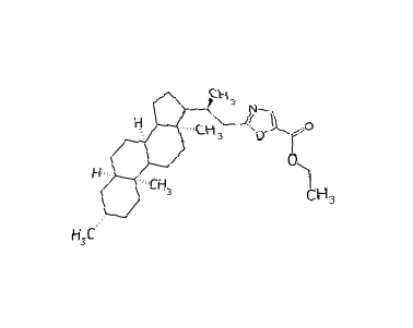 CCOC(=O)c1cnc(C[C@H](C)C2CCC3[C@@H]4CC[C@@H]5C[C@@H](C)CC[C@]5(C)C4CC[C@@]32C)o1